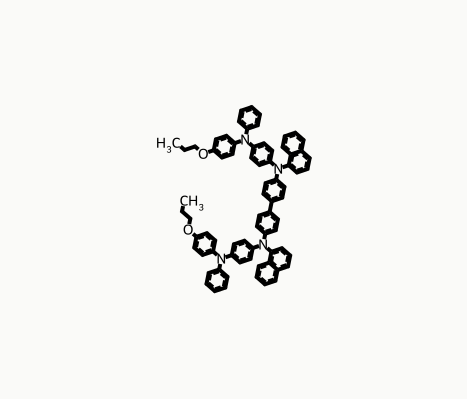 CCCOc1ccc(N(c2ccccc2)c2ccc(N(c3ccc(-c4ccc(N(c5ccc(N(c6ccccc6)c6ccc(OCCC)cc6)cc5)c5cccc6ccccc56)cc4)cc3)c3cccc4ccccc34)cc2)cc1